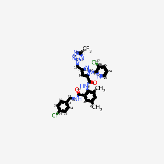 Cc1cc(C)c(NC(=O)c2cc(Cn3nnc(C(F)(F)F)n3)nn2-c2ncccc2Cl)c(C(=O)NCc2ccc(Cl)cc2)c1